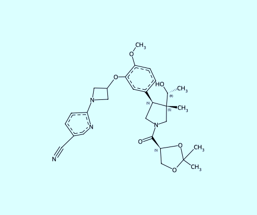 COc1ccc([C@@H]2CN(C(=O)[C@@H]3COC(C)(C)O3)C[C@@]2(C)[C@@H](C)O)cc1OC1CN(c2ccc(C#N)cn2)C1